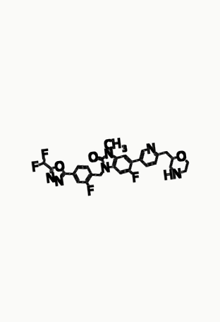 Cn1c(=O)n(Cc2ccc(-c3nnc(C(F)F)o3)cc2F)c2cc(F)c(-c3ccc(CC4CNCCO4)nc3)cc21